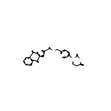 O=C1CCN(c2ccc(CNC(=O)c3cc4c(o3)C(=O)c3ccccc3C4=O)nc2)C(=O)N1